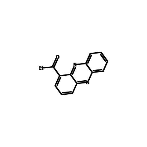 CCC(=O)c1cccc2nc3ccccc3nc12